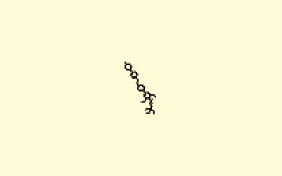 CCc1cc(-c2ccc(CCc3ccc(C4CCC(C)CC4)cc3)cc2)cc(CC)c1OCCC(CC)(CC)CC